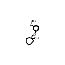 CC[C@H](C)Oc1cccc(OCC2(O)CCCCCC2)c1